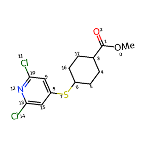 COC(=O)C1CCC(Sc2cc(Cl)nc(Cl)c2)CC1